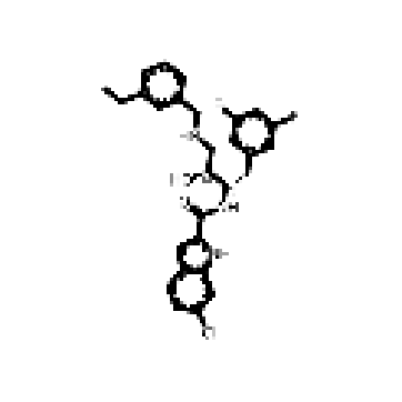 CCc1cccc(CNC[C@H](O)[C@H](Cc2cc(F)cc(F)c2)NC(=O)c2cc3ccc(Cl)cc3[nH]2)c1